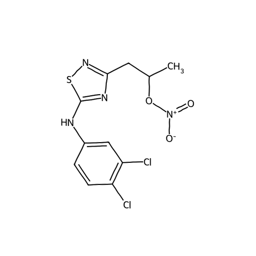 CC(Cc1nsc(Nc2ccc(Cl)c(Cl)c2)n1)O[N+](=O)[O-]